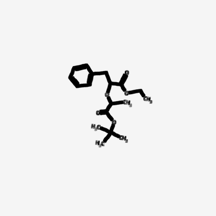 CCOC(=O)C(Cc1ccccc1)OC(C)C(=O)OC(C)(C)C